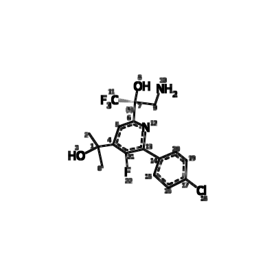 CC(C)(O)c1cc([C@@](O)(CN)C(F)(F)F)nc(-c2ccc(Cl)cc2)c1F